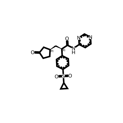 O=C1CC[C@H](C[C@@H](C(=O)Nc2ccncn2)c2ccc(S(=O)(=O)C3CC3)cc2)C1